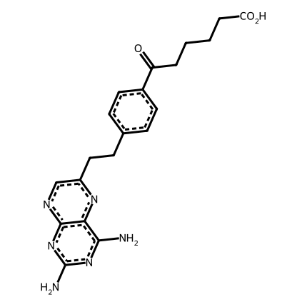 Nc1nc(N)c2nc(CCc3ccc(C(=O)CCCCC(=O)O)cc3)cnc2n1